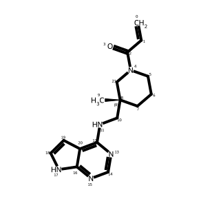 C=CC(=O)N1CCC[C@](C)(CNc2ncnc3[nH]ccc23)C1